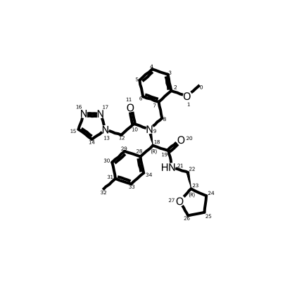 COc1ccccc1CN(C(=O)Cn1ccnn1)[C@@H](C(=O)NC[C@H]1CCCO1)c1ccc(C)cc1